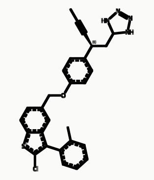 CC#C[C@@H](CC1NN=NN1)c1ccc(OCc2ccc3sc(Cl)c(-c4ccccc4C)c3c2)cc1